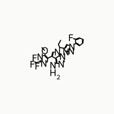 CCC(c1cn(-c2ccccc2F)nn1)n1cc(-c2cnc(C(F)(F)F)nc2OC)c2c(N)ncnc21